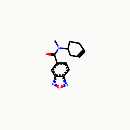 CN(C(=O)c1ccc2nonc2c1)C1CC#CCC1